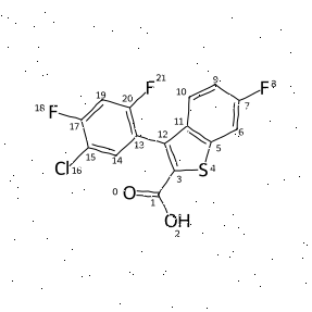 O=C(O)c1sc2cc(F)ccc2c1-c1cc(Cl)c(F)cc1F